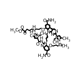 CCn1nc(C)cc1C(=O)Nc1nc2cc(C(N)=O)cc(OCCCOC)c2n1CC=CCn1c2nc(-c3cc(C)nn3CC)ncc2c2cc(C(N)=O)cc(OCCCNCCCC(=O)C(=O)OC)c21